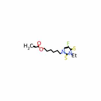 C=CC(=O)OCCCCCCn1cc(F)c(=S)n(CC)c1=S